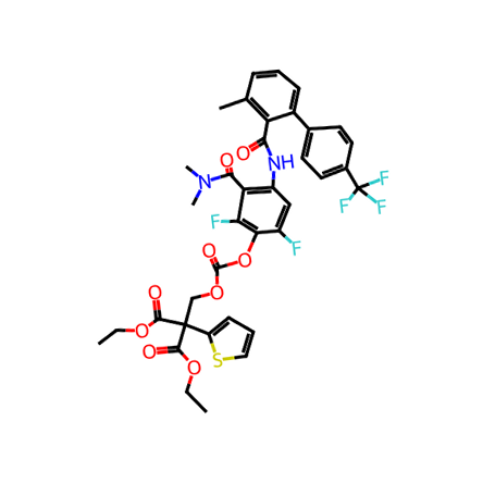 CCOC(=O)C(COC(=O)Oc1c(F)cc(NC(=O)c2c(C)cccc2-c2ccc(C(F)(F)F)cc2)c(C(=O)N(C)C)c1F)(C(=O)OCC)c1cccs1